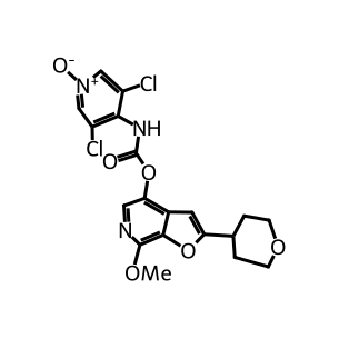 COc1ncc(OC(=O)Nc2c(Cl)c[n+]([O-])cc2Cl)c2cc(C3CCOCC3)oc12